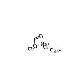 O=C[O-].[Ca+2].[Cl-].[Cl-].[Na+]